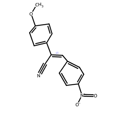 COc1ccc(/C(C#N)=C/c2ccc([N+](=O)[O-])cc2)cc1